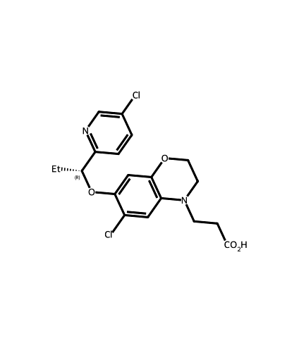 CC[C@@H](Oc1cc2c(cc1Cl)N(CCC(=O)O)CCO2)c1ccc(Cl)cn1